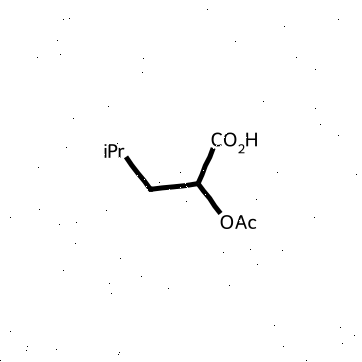 CC(=O)OC(CC(C)C)C(=O)O